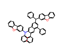 c1ccc(-c2cc3c(-c4ccccc4)cc(C(c4ccccc4)c4ccc5c(c4)oc4ccccc45)cc3cc2N(c2ccccc2)c2ccc3c(c2)oc2ccccc23)cc1